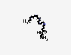 CC/C=C\C/C=C\C/C=C\C/C=C\C/C=C\CCCC(=O)NCCN